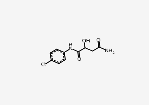 NC(=O)CC(O)C(=O)Nc1ccc(Cl)cc1